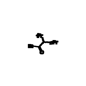 CCCC([C](C)C)C(=O)CC